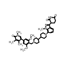 COc1cc(-c2cn(C)c(=O)c(C)c2C)cc(OC)c1CN1CCC(C2CCN(c3cccc4c(C5CCC(=O)NC5=O)nn(C)c34)CC2)CC1